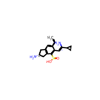 C=Cc1cc2c(c(S(=O)O)c1/C=C(\N)C1CC1)C[C@H](N)C2